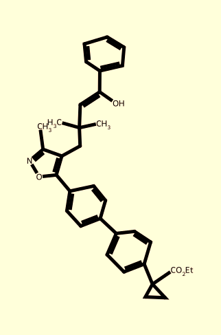 CCOC(=O)C1(c2ccc(-c3ccc(-c4onc(C)c4CC(C)(C)/C=C(\O)c4ccccc4)cc3)cc2)CC1